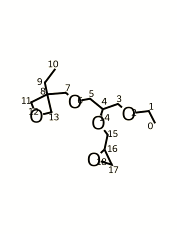 CCOCC(COCC1(CC)COC1)OCC1CO1